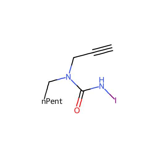 C#CCN(CCCCCC)C(=O)NI